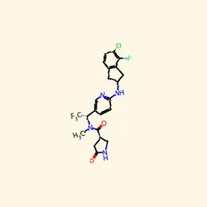 CN(C(=O)[C@H]1CNC(=O)C1)[C@@H](c1ccc(NC2Cc3ccc(Cl)c(F)c3C2)nc1)C(F)(F)F